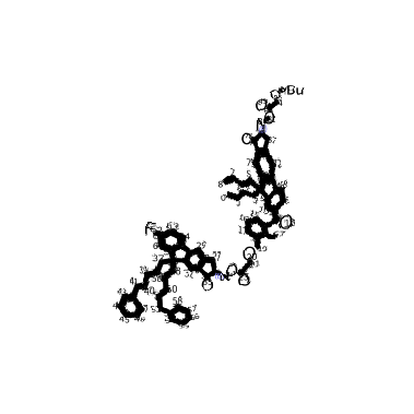 C=CCCC1(CCC=C)c2cc(C(=O)c3cccc(COCC(=O)O/N=C4\Cc5cc6c(cc5C4=O)C(CCCCCc4ccccc4)(CCCCCc4ccccc4)c4cc(F)ccc4-6)c3C)ccc2-c2cc3c(cc21)C(=O)/C(=N/OC(=O)COCCCC)C3